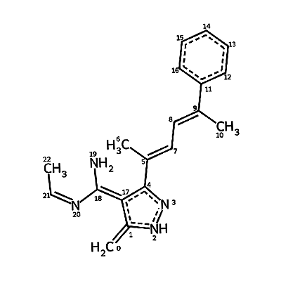 C=c1[nH]nc(/C(C)=C/C=C(\C)c2ccccc2)/c1=C(N)/N=C\C